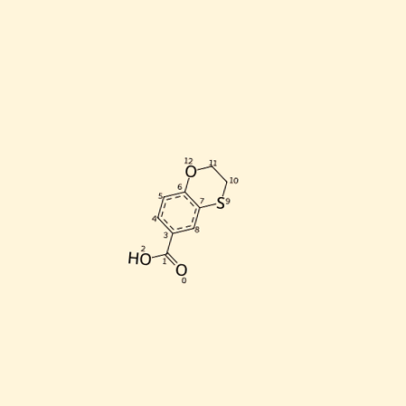 O=C(O)c1ccc2c(c1)SCCO2